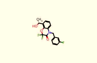 C[C@@H](O)c1cccc2c1OC(F)(F)C(=O)N2Cc1cccc(F)c1